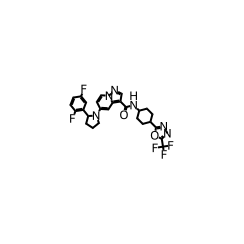 O=C(NC1CCC(c2nnc(C(F)(F)F)o2)CC1)c1cnn2ccc(N3CCCC3c3cc(F)ccc3F)cc12